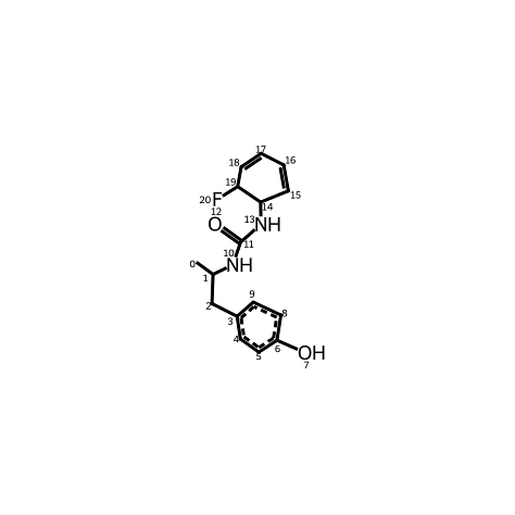 CC(Cc1ccc(O)cc1)NC(=O)NC1C=CC=CC1F